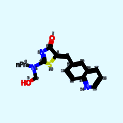 CCCN(CO)C1=NC(=O)/C(=C/c2ccc3ncccc3c2)S1